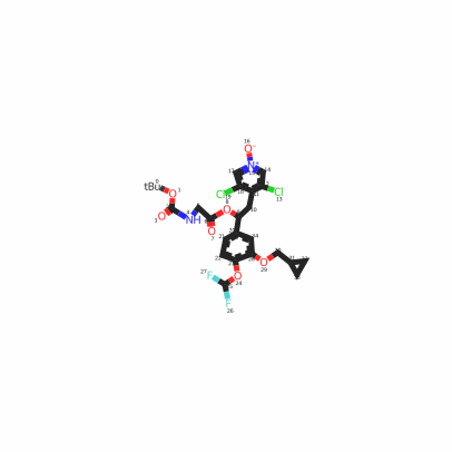 CC(C)(C)OC(=O)NCC(=O)OC(Cc1c(Cl)c[n+]([O-])cc1Cl)c1ccc(OC(F)F)c(OCC2CC2)c1